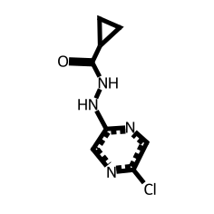 O=C(NNc1cnc(Cl)cn1)C1CC1